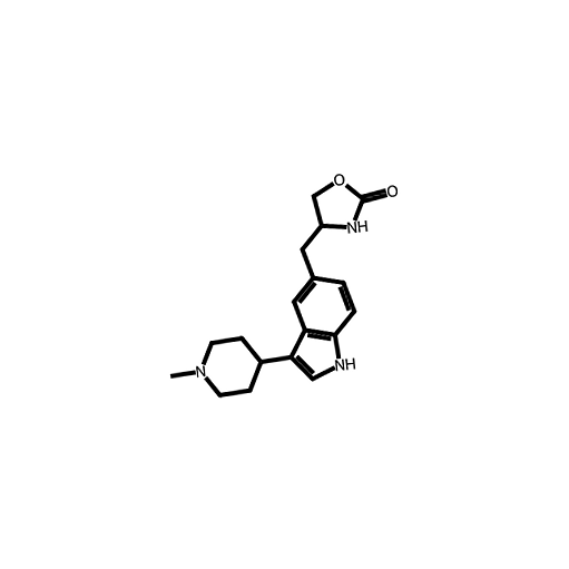 CN1CCC(c2c[nH]c3ccc(CC4COC(=O)N4)cc23)CC1